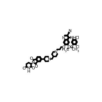 COc1cc(Nc2c(C#N)cnc3cc(OCCCN4CCC(CN5CCC(c6ccc7c(c6)C(=O)N(C6CCC(=O)NC6=O)C7=O)CC5)CC4)c(OC)cc23)c(Cl)cc1Cl